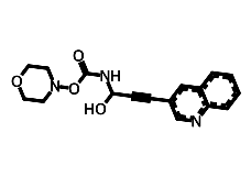 O=C(NC(O)C#Cc1cnc2ccccc2c1)ON1CCOCC1